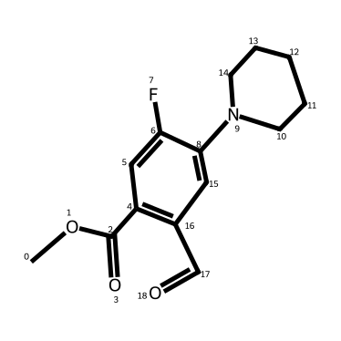 COC(=O)c1cc(F)c(N2CCCCC2)cc1C=O